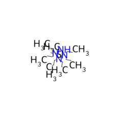 CCCN(CCC)[Si](NC)(N(CCC)CCC)N(CCC)CCC